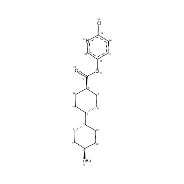 CCCC[C@H]1CC[C@H]([C@H]2CC[C@H](C(=O)Oc3ccc(Cl)nc3)CC2)CC1